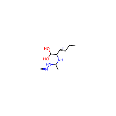 C=NNC(C)NC(/C=C/CC)C(O)O